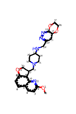 COc1ccc2ccc3c(c2n1)C(CN1CCC(NCc2cc4c(nn2)OCCO4)CC1)CO3